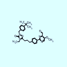 CCn1c(CCCc2ccc(-c3ncc(OC)c(C=O)n3)cc2)nn(Cc2ccc(C(C)(C)C)cc2)c1=O